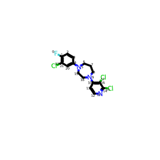 Fc1ccc(N2CCCN(c3ccnc(Cl)c3Cl)CC2)cc1Cl